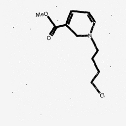 COC(=O)C1=CC=CN(CCCCCl)C1